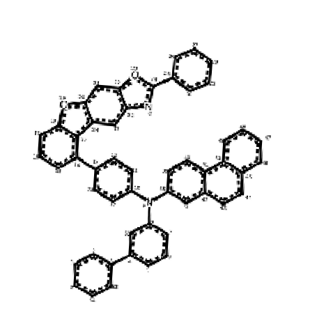 c1ccc(-c2cccc(N(c3ccc(-c4cccc5oc6cc7oc(-c8ccccc8)nc7cc6c45)cc3)c3ccc4c(ccc5ccccc54)c3)c2)cc1